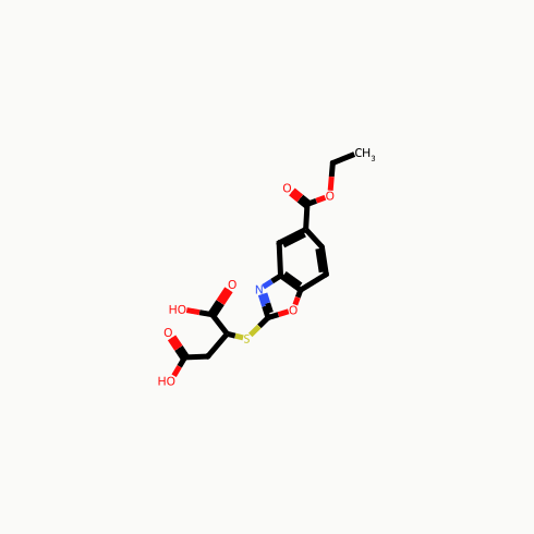 CCOC(=O)c1ccc2oc(SC(CC(=O)O)C(=O)O)nc2c1